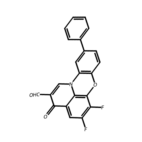 O=Cc1cn2c3c(c(F)c(F)cc3c1=O)Oc1ccc(-c3ccccc3)cc1-2